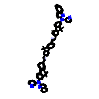 CC1(C)c2cc(/C=C/c3ccc4c(c3)C(C)(C)c3cc(N(c5cccnc5)c5ccc6ccccc6n5)ccc3-4)ccc2-c2ccc(/C=C/c3ccc4c(c3)C(C)(C)c3cc(N(c5cccnc5)c5ccc6ccccc6n5)ccc3-4)cc21